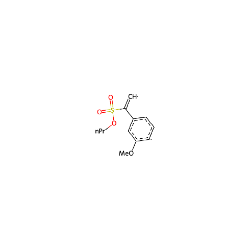 [CH]=C(c1cc[c]c(OC)c1)S(=O)(=O)OCCC